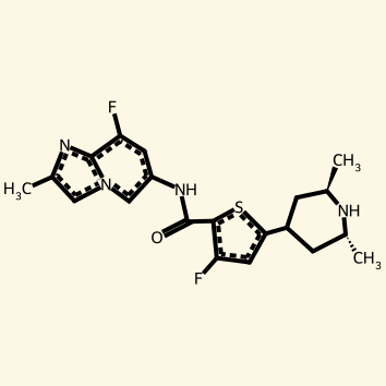 Cc1cn2cc(NC(=O)c3sc(C4C[C@@H](C)N[C@H](C)C4)cc3F)cc(F)c2n1